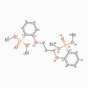 CCOP(=O)(OCC)c1ccccc1OCCCOc1ccccc1P(=O)(OCC)OCC